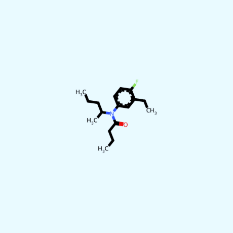 CCCC(=O)N(c1ccc(F)c(CC)c1)C(C)CCC